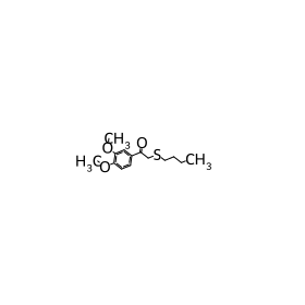 CCCCSCC(=O)c1ccc(OC)c(OC)c1